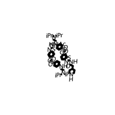 CC(=O)Nc1nc2ccc(OS(=O)(=O)c3ccc(NCCN(C(C)C)C(C)C)cc3)cc2s1.CC(C)N(CCNc1ccc(S(=O)(=O)Oc2ccc3nc(NC(=O)CC4CCNCC4)sc3c2)cc1)C(C)C